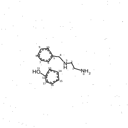 NCCNCc1ccccc1.Oc1ccccc1